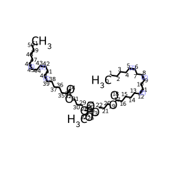 CCCCC/C=C\C/C=C\C/C=C\CCCCC(=O)OCCCOP(=O)(OC)OCCCOC(=O)CCCC/C=C\C/C=C\C/C=C\CCCCC